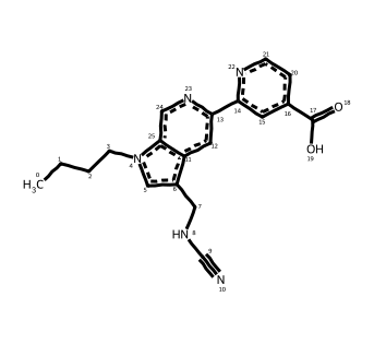 CCCCn1cc(CNC#N)c2cc(-c3cc(C(=O)O)ccn3)ncc21